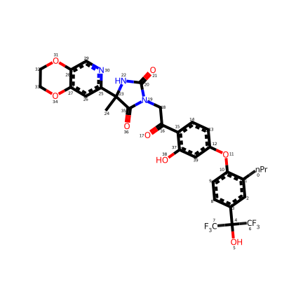 CCCc1cc(C(O)(C(F)(F)F)C(F)(F)F)ccc1Oc1ccc(C(=O)CN2C(=O)NC(C)(c3cc4c(cn3)OCCO4)C2=O)c(O)c1